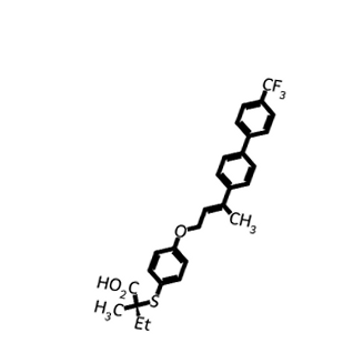 CC[C@](C)(Sc1ccc(OC/C=C(\C)c2ccc(-c3ccc(C(F)(F)F)cc3)cc2)cc1)C(=O)O